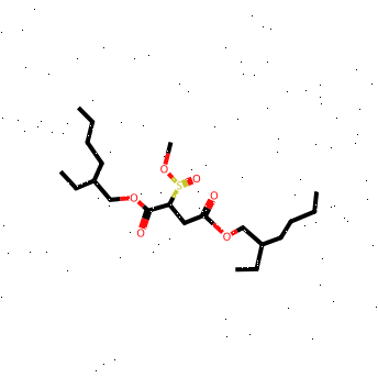 CCCCC(CC)COC(=O)CC(C(=O)OCC(CC)CCCC)S(=O)OC